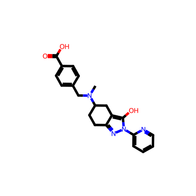 CN(Cc1ccc(C(=O)O)cc1)C1CCc2nn(-c3ccccn3)c(O)c2C1